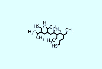 CCC(CCCS)CC(CC)C(C)CC(CC(CS)C(C)C)C(C)C